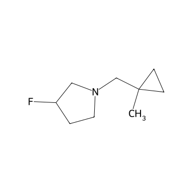 CC1(CN2CCC(F)C2)CC1